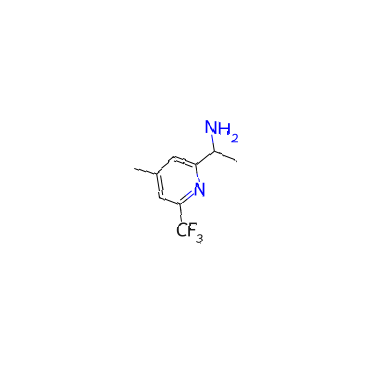 Cc1cc(C(C)N)nc(C(F)(F)F)c1